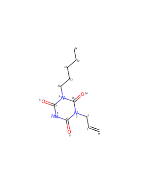 C=CCn1c(=O)[nH]c(=O)n(CCCCC)c1=O